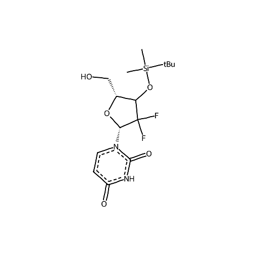 CC(C)(C)[Si](C)(C)OC1[C@@H](CO)O[C@@H](n2ccc(=O)[nH]c2=O)C1(F)F